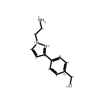 NCCn1ccc(-c2ccc(CCl)cc2)n1